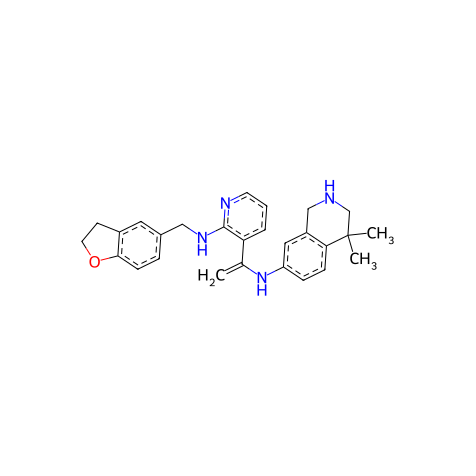 C=C(Nc1ccc2c(c1)CNCC2(C)C)c1cccnc1NCc1ccc2c(c1)CCO2